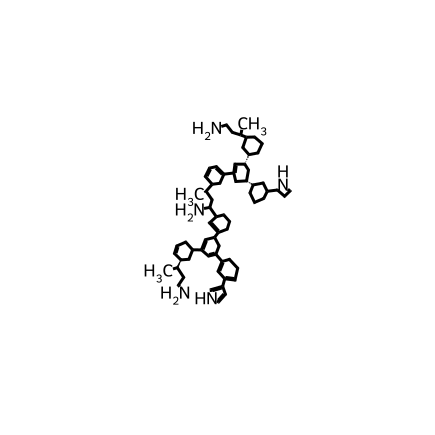 CC(CCN)C1CCCC([C@H]2C=C(C3=CC=CC([C@@H](C)CC(N)C4C=C(C5C=C(C6CC=C[C@H](C(C)CCN)C6)C=C(C6=CC(c7cc[nH]c7)=CCC6)C5)CCC4)C3)C[C@@H](C3CCCC(C4CCN4)C3)C2)C1